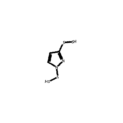 SSc1ccn(SS)n1